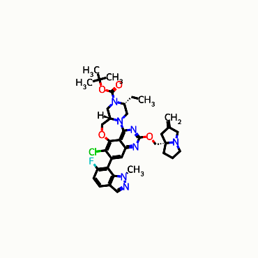 C=C1CN2CCC[C@@]2(COc2nc3c4c(c(Cl)c(-c5c(F)ccc6cnn(C)c56)cc4n2)OC[C@@H]2CN(C(=O)OC(C)(C)C)[C@H](CC)CN32)C1